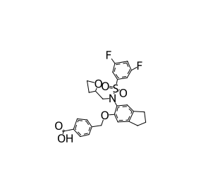 O=C(O)c1ccc(COc2cc3c(cc2N(CC2CCO2)S(=O)(=O)c2cc(F)cc(F)c2)CCC3)cc1